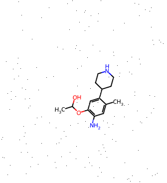 Cc1cc(N)c(OC(C)O)cc1C1CCNCC1